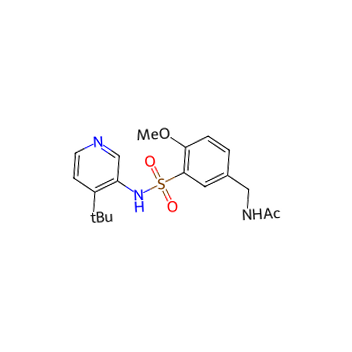 COc1ccc(CNC(C)=O)cc1S(=O)(=O)Nc1cnccc1C(C)(C)C